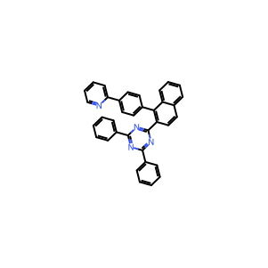 c1ccc(-c2nc(-c3ccccc3)nc(-c3ccc4ccccc4c3-c3ccc(-c4ccccn4)cc3)n2)cc1